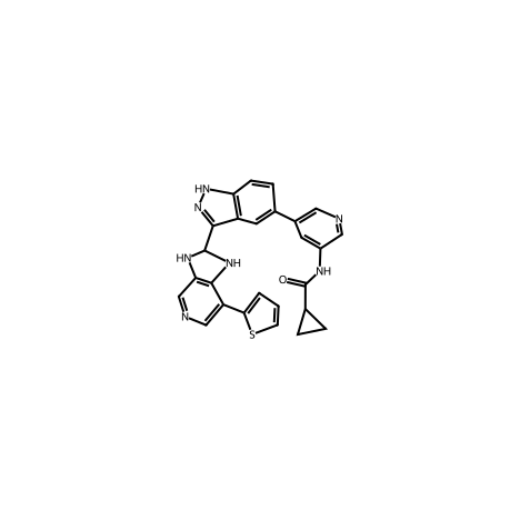 O=C(Nc1cncc(-c2ccc3[nH]nc(C4Nc5cncc(-c6cccs6)c5N4)c3c2)c1)C1CC1